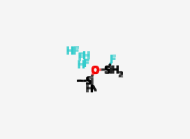 C[SiH](C)O[SiH2]F.F.F.F